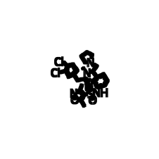 Cc1noc(C)c1S(=O)(=O)Nc1cccc(C(CN2CCCC2)N(C)C(=O)Cc2ccc(Cl)c(Cl)c2)c1